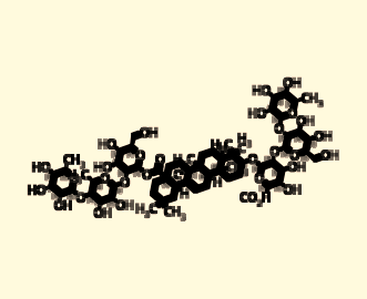 C[C@@H]1O[C@@H](O[C@@H]2[C@@H](O)[C@@H](O)[C@H](O[C@H]3[C@H](OC(=O)[C@]45CCC(C)(C)C[C@H]4C4=CC[C@@H]6[C@@]7(C)CC[C@H](O[C@@H]8O[C@H](C(=O)O)[C@@H](O)[C@H](O)[C@H]8O[C@@H]8O[C@H](CO)[C@H](O)[C@H](O)[C@H]8O[C@@H]8O[C@@H](C)[C@H](O)[C@@H](O)[C@H]8O)C(C)(C)[C@@H]7CC[C@@]6(C)[C@]4(C)CC5)O[C@H](CO)[C@@H](O)[C@@H]3O)O[C@H]2C)[C@H](O)[C@H](O)[C@H]1O